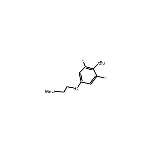 COCCOc1cc(F)c(C(C)(C)C)c(F)c1